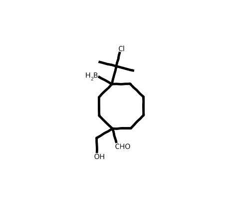 BC1(C(C)(C)Cl)CCCCC(C=O)(CO)CC1